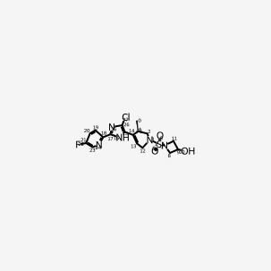 C[C@H]1CN(S(=O)(=O)N2CC(O)C2)CC=C1c1[nH]c(-c2ccc(F)cn2)nc1Cl